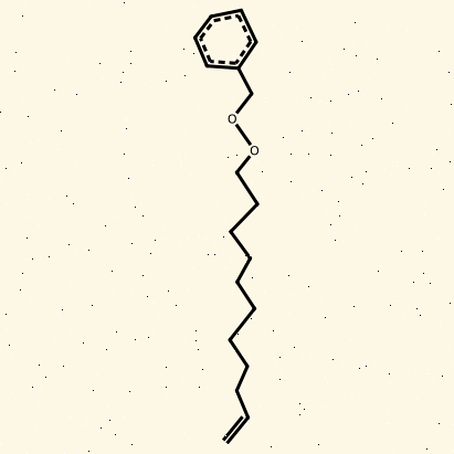 C=CCCCCCCCCCOOCc1ccccc1